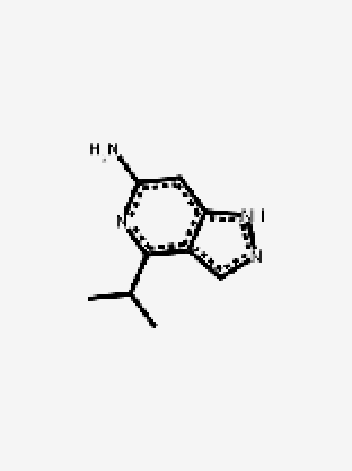 CC(C)c1nc(N)cc2[nH]ncc12